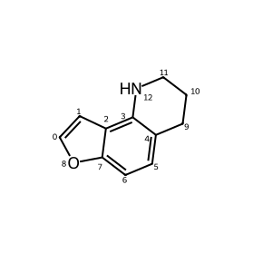 c1cc2c3c(ccc2o1)CCCN3